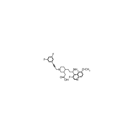 COc1ccc2ncc(F)c([C@H](N)CCC3CCN(CC#Cc4cc(F)cc(F)c4)CC3CC(=O)O)c2c1